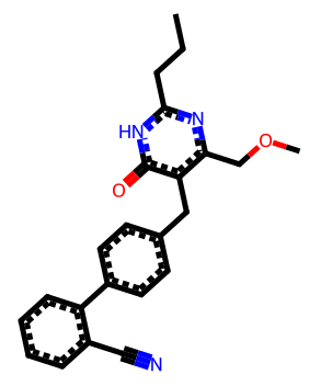 CCCc1nc(COC)c(Cc2ccc(-c3ccccc3C#N)cc2)c(=O)[nH]1